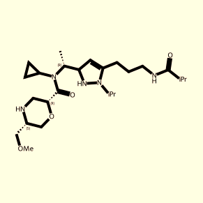 COC[C@H]1CO[C@@H](C(=O)N(C2CC2)[C@H](C)C2C=C(CCCNC(=O)C(C)C)N(C(C)C)N2)CN1